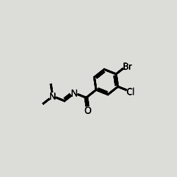 CN(C)/C=N/C(=O)c1ccc(Br)c(Cl)c1